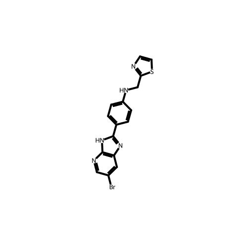 Brc1cnc2[nH]c(-c3ccc(NCc4nccs4)cc3)nc2c1